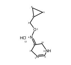 C1=NCC(=NOCC2CC2)CN1.Cl